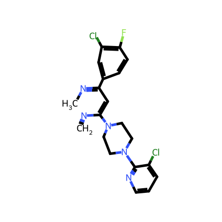 C=N/C(=C\C(=N/C)c1ccc(F)c(Cl)c1)N1CCN(c2ncccc2Cl)CC1